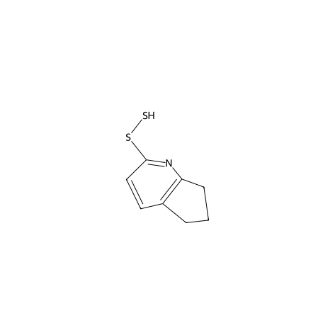 SSc1ccc2c(n1)CCC2